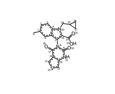 Cc1ccc2c(c1)c(-n1c(=O)[nH]c3cscc3c1=O)c(C(=O)O)n2CC1CC1